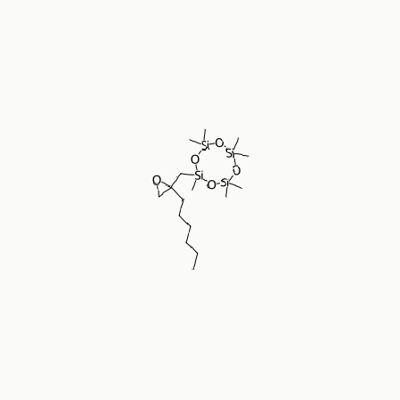 CCCCCCC1(C[Si]2(C)O[Si](C)(C)O[Si](C)(C)O[Si](C)(C)O2)CO1